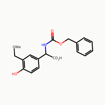 COCc1cc(C(NC(=O)OCc2ccccc2)C(=O)O)ccc1O